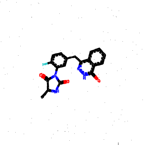 CC1NC(=O)N(c2cc(Cc3n[nH]c(=O)c4ccccc34)ccc2F)C1=O